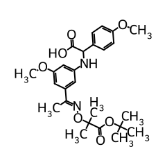 COc1ccc(C(Nc2cc(OC)cc(C(C)=NOC(C)(C)C(=O)OC(C)(C)C)c2)C(=O)O)cc1